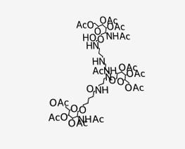 CC(=O)NC1C(OC(C)=O)[C@@H](OC(C)=O)C(COC(C)=O)O[C@H]1OCCCCC(=O)NCCCN(CCCNCCCNC(O)O[C@@H]1OC(COC(C)=O)[C@H](OC(C)=O)C(OC(C)=O)C1NC(C)=O)O[C@@H]1OC(COC(C)=O)[C@H](OC(C)=O)C(OC(C)=O)C1NC(C)=O